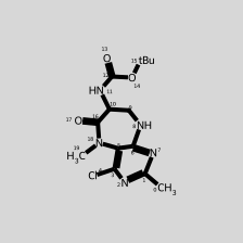 Cc1nc(Cl)c2c(n1)NCC(NC(=O)OC(C)(C)C)C(=O)N2C